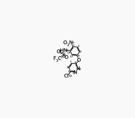 O=[N+]([O-])c1ccc(Oc2ccc(Cl)nn2)cc1NS(=O)(=O)C(F)(F)F